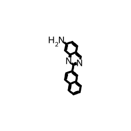 Nc1ccc2cnc(-c3ccc4ccccc4c3)nc2c1